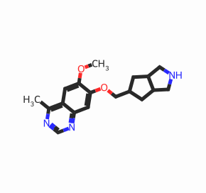 COc1cc2c(C)ncnc2cc1OCC1CC2CNCC2C1